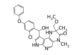 COCC1(C)Nc2c(cnc3[nH]cc(C(O)c4ccc(Oc5ccccc5)cc4Cl)c23)N(C)C1=O